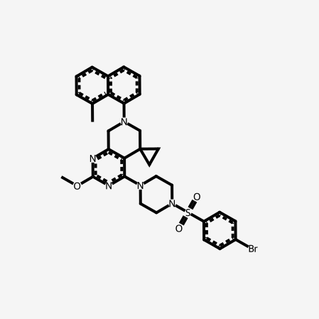 COc1nc2c(c(N3CCN(S(=O)(=O)c4ccc(Br)cc4)CC3)n1)C1(CC1)CN(c1cccc3cccc(C)c13)C2